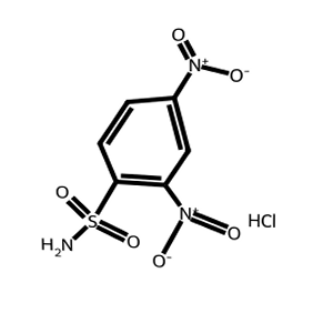 Cl.NS(=O)(=O)c1ccc([N+](=O)[O-])cc1[N+](=O)[O-]